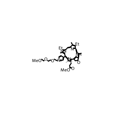 CCC1=C(C)c2cc3[nH]c(c(C)c3CC)c(-c3cc[n+](CCOCCOCCOC)cc3)c3nc(c4c5[nH]c(cc1n2)c(C)c5C(=O)C4)[C@@H](CCC(=O)OC)[C@@H]3C